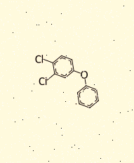 Clc1ccc(Oc2c[c]ccc2)cc1Cl